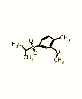 COc1cc(S(=O)(=O)C(C)C)ccc1C